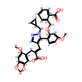 COc1ccc(-c2c(C=C(Cc3cc4c(cc3OC)OCO4)C(=O)O)cnn2CC2CC2)c(OCc2ccccc2C(=O)O)c1